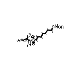 CCCCCCCCCCCCCCCCS(=O)(=O)NC([NH])=O